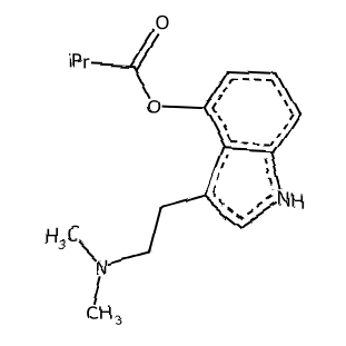 CC(C)C(=O)Oc1cccc2[nH]cc(CCN(C)C)c12